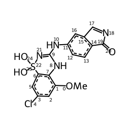 COc1cc(Cl)cc2c1NC(Nc1ccc3c(c1)C=NC3=O)=NS2(O)O